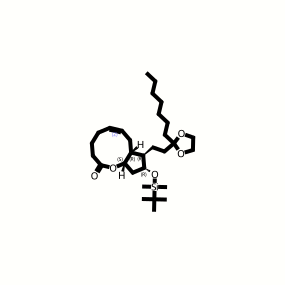 CCCCCCCC1(CC[C@@H]2[C@H]3C/C=C\CCCC(=O)O[C@H]3C[C@H]2O[Si](C)(C)C(C)(C)C)OCCO1